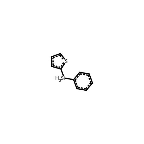 c1ccc([SiH2]c2cccs2)cc1